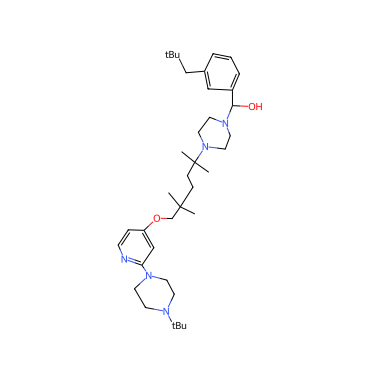 CC(C)(C)Cc1cccc(C(O)N2CCN(C(C)(C)CCC(C)(C)COc3ccnc(N4CCN(C(C)(C)C)CC4)c3)CC2)c1